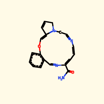 NC(=O)C1=CC=CN=CCN2CC=CC2=COc2ccccc2C=N1